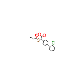 CCCC(=O)SC(C(=O)O)c1ccc(-c2ccccc2Cl)cc1